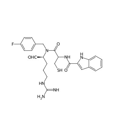 N=C(N)NCCC[C@@H]([C]=O)N(Cc1ccc(F)cc1)C(=O)C(CS)NC(=O)c1cc2ccccc2[nH]1